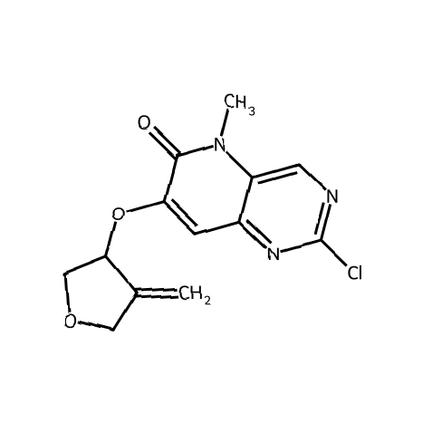 C=C1COCC1Oc1cc2nc(Cl)ncc2n(C)c1=O